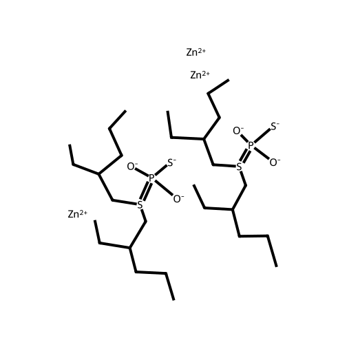 CCCC(CC)CS(CC(CC)CCC)=P([O-])([O-])[S-].CCCC(CC)CS(CC(CC)CCC)=P([O-])([O-])[S-].[Zn+2].[Zn+2].[Zn+2]